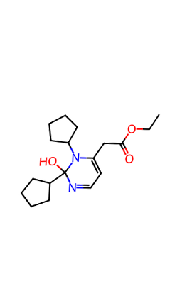 CCOC(=O)CC1=CC=NC(O)(C2CCCC2)N1C1CCCC1